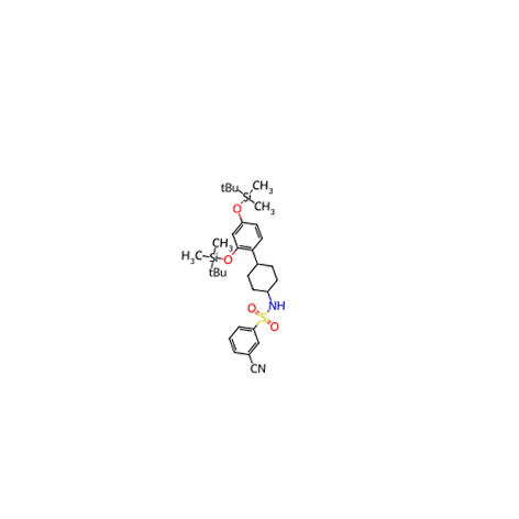 CC(C)(C)[Si](C)(C)Oc1ccc(C2CCC(NS(=O)(=O)c3cccc(C#N)c3)CC2)c(O[Si](C)(C)C(C)(C)C)c1